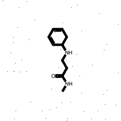 CNC(=O)CCNC1C=CC=CC1